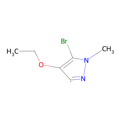 CCOc1[c]nn(C)c1Br